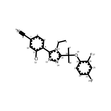 CCn1c(-c2ccc(C#N)cc2Cl)nnc1C(C)(C)Oc1ccc(F)cc1F